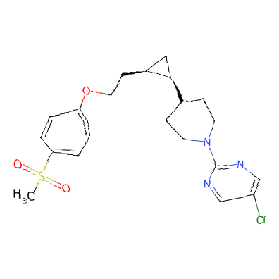 CS(=O)(=O)c1ccc(OCC[C@H]2C[C@H]2C2CCN(c3ncc(Cl)cn3)CC2)cc1